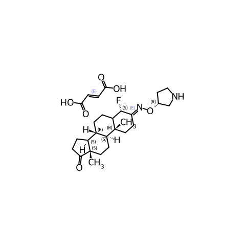 C[C@]12CC/C(=N\O[C@@H]3CCNC3)[C@@H](F)C1CC[C@@H]1[C@@H]2CC[C@]2(C)C(=O)CC[C@@H]12.O=C(O)/C=C/C(=O)O